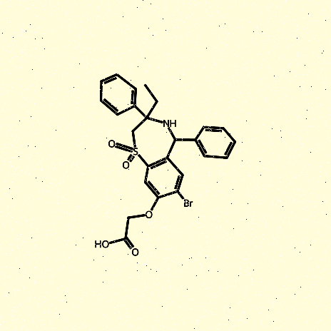 CCC1(c2ccccc2)CS(=O)(=O)c2cc(OCC(=O)O)c(Br)cc2C(c2ccccc2)N1